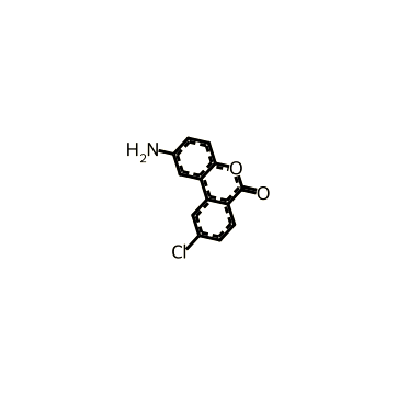 Nc1ccc2oc(=O)c3ccc(Cl)cc3c2c1